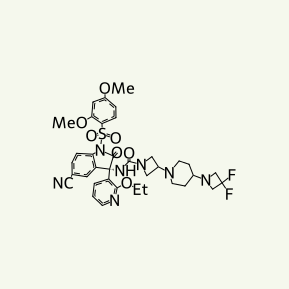 CCOc1ncccc1[C@]1(NC(=O)N2CC(N3CCC(N4CC(F)(F)C4)CC3)C2)C(=O)N(S(=O)(=O)c2ccc(OC)cc2OC)c2ccc(C#N)cc21